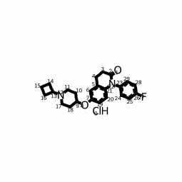 Cl.O=C1CCc2cc(OC3CCN(C4CCC4)CC3)ccc2N1c1ccc(F)cc1